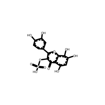 O=c1c(OS(=O)(=O)O)c(-c2ccc(O)c(O)c2)oc2c(O)c(O)cc(O)c12